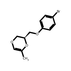 CC1=COC[C@@H](COc2ccc(Br)cc2)O1